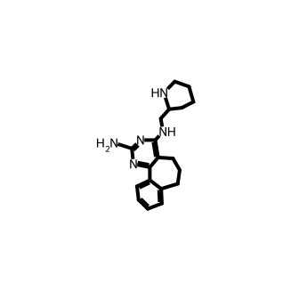 Nc1nc(NCC2CCCCN2)c2c(n1)-c1ccccc1CCC2